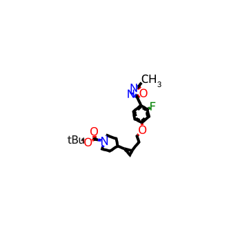 Cc1nnc(-c2ccc(OCCC3CC3C3CCN(C(=O)OC(C)(C)C)CC3)cc2F)o1